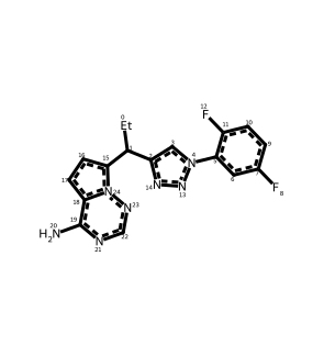 CCC(c1cn(-c2cc(F)ccc2F)nn1)c1ccc2c(N)ncnn12